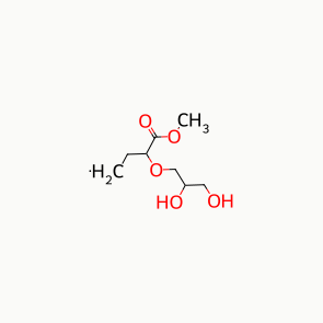 [CH2]CC(OCC(O)CO)C(=O)OC